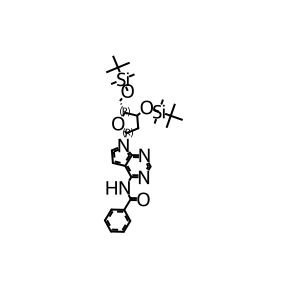 CC(C)(C)[Si](C)(C)OC[C@H]1O[C@@H](n2ccc3c(NC(=O)c4ccccc4)ncnc32)CC1O[Si](C)(C)C(C)(C)C